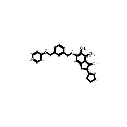 Cc1c(OCc2cccc(CSc3ccncc3)c2)cc2c(c1C)C(=O)C(C1CCCC1)C2